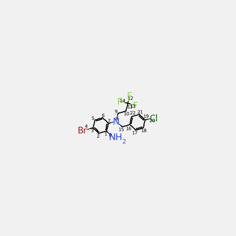 Nc1cc(Br)ccc1N(CCC(F)(F)F)Cc1ccc(Cl)cc1